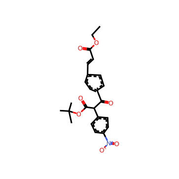 CCOC(=O)/C=C/c1ccc(C(=O)C(C(=O)OC(C)(C)C)c2ccc([N+](=O)[O-])cc2)cc1